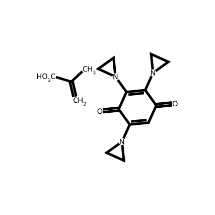 C=C(C)C(=O)O.O=C1C=C(N2CC2)C(=O)C(N2CC2)=C1N1CC1